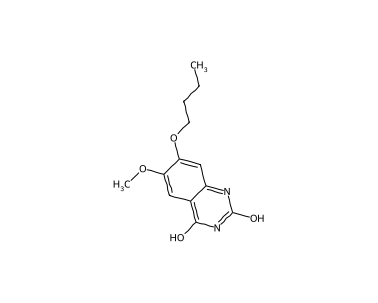 CCCCOc1cc2nc(O)nc(O)c2cc1OC